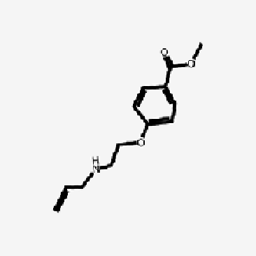 C=CCNCCOc1ccc(C(=O)OC)cc1